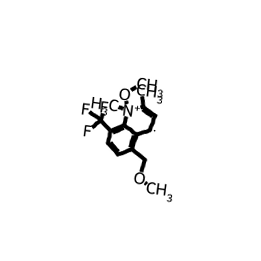 COCc1ccc(C(F)(F)F)c2c1[CH]C=C(C)[N+]2(C)OC